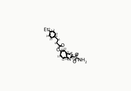 CCc1ccc(CCC(=O)Oc2ccc3nc(S(N)(=O)=O)sc3c2)cc1